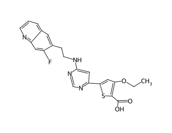 CCOc1cc(-c2cc(NCCc3cc4cccnc4cc3F)ncn2)sc1C(=O)O